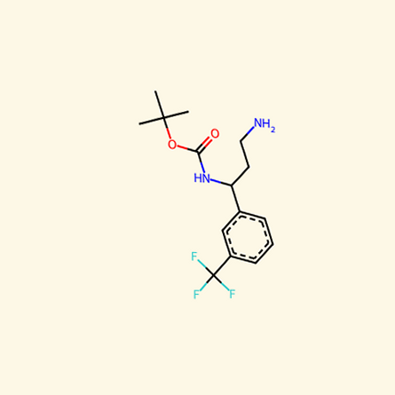 CC(C)(C)OC(=O)NC(CCN)c1cccc(C(F)(F)F)c1